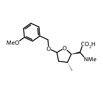 CNC(C(=O)O)[C@@H]1OC(OCc2cccc(OC)c2)C[C@H]1C